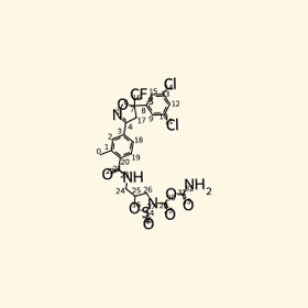 Cc1cc(C2=NOC(c3cc(Cl)cc(Cl)c3)(C(F)(F)F)C2)ccc1C(=O)NCC1CN(C(=O)OC(N)=O)S(=O)O1